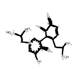 NC(CC1=C(c2cn(CC(N)C(=O)O)cc(O)c2=O)C(=O)C(=O)C=C1)C(=O)O